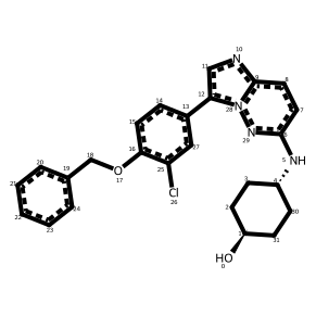 O[C@H]1CC[C@H](Nc2ccc3ncc(-c4ccc(OCc5ccccc5)c(Cl)c4)n3n2)CC1